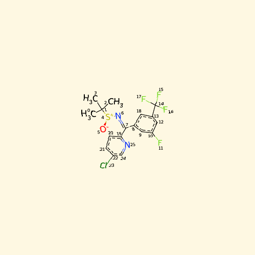 CC(C)(C)[S@+]([O-])/N=C(/c1cc(F)cc(C(F)(F)F)c1)c1ccc(Cl)cn1